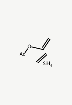 C=C.C=COC(C)=O.[SiH4]